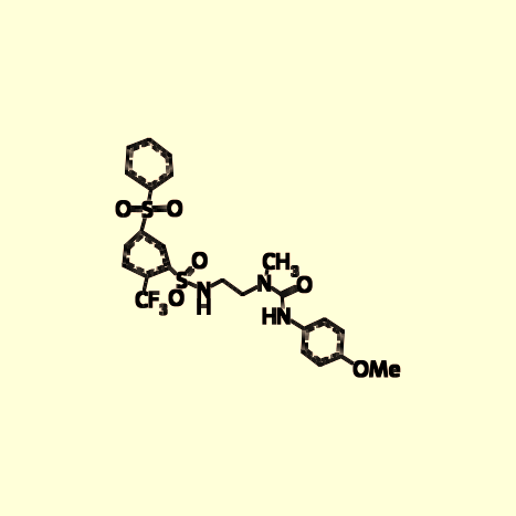 COc1ccc(NC(=O)N(C)CCNS(=O)(=O)c2cc(S(=O)(=O)c3ccccc3)ccc2C(F)(F)F)cc1